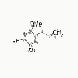 C=CCc1cc(C#N)c(F)cc1OC